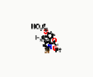 CCOCC(Oc1ccc(OCC(=O)O)c(C)c1)c1cccc(Br)n1